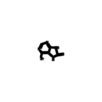 CC(C)c1ncnc2[nH]c(=O)[nH]c12